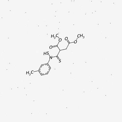 COC(=O)CC(C(=O)OC)C(=S)N(S)c1cccc(C)c1